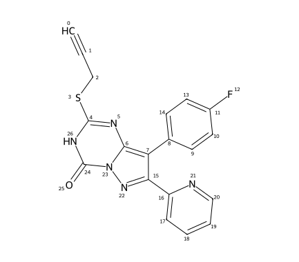 C#CCSc1nc2c(-c3ccc(F)cc3)c(-c3ccccn3)nn2c(=O)[nH]1